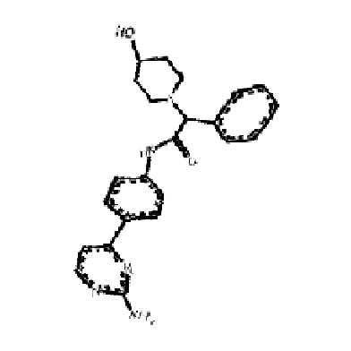 Nc1nccc(-c2ccc(NC(=O)C(c3ccccc3)N3CCC(O)CC3)cc2)n1